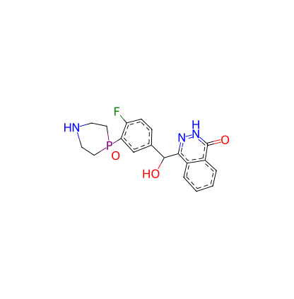 O=c1[nH]nc(C(O)c2ccc(F)c(P3(=O)CCNCC3)c2)c2ccccc12